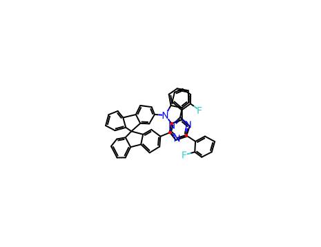 Fc1ccccc1-c1nc(-c2ccc3c(c2)C2(c4ccccc4-3)c3ccccc3-c3ccc(-n4c5ccccc5c5ccccc54)cc32)nc(-c2ccccc2F)n1